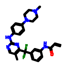 C=CC(=O)Nc1cccc(C(F)(F)c2nc(Nc3ccc(N4CCN(C)CC4)cc3)ncc2C)c1